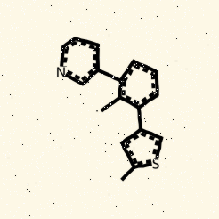 [CH2]c1c(-c2cccnc2)cccc1-c1csc(C)c1